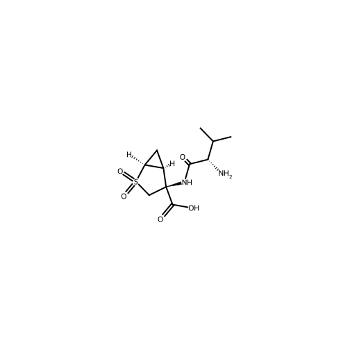 CC(C)[C@H](N)C(=O)N[C@@]1(C(=O)O)CS(=O)(=O)[C@H]2C[C@H]21